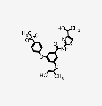 CC(CO)Oc1cc(Oc2ccc(S(C)(=O)=O)cc2)cc(C(=O)Nc2nc(C(C)O)cs2)c1